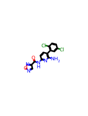 Nc1nc(NC(=O)c2cnon2)ccc1-c1cc(Cl)ccc1Cl